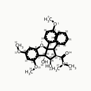 COc1ccc(C23Oc4cc(OC)cc(OC)c4[C@]2(O)[C@H](O)[C@H](C(=O)N(C)C)C3c2ccccc2)cc1